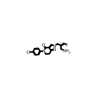 NC/C(=C\F)Cn1cc2c(n1)CCN(c1ccc(Cl)cc1)C2=O